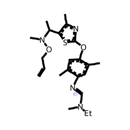 C=CCON(C)C(C)c1sc(Oc2cc(C)c(/N=C/N(C)CC)cc2C)nc1C